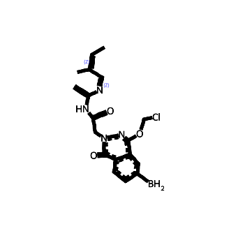 Bc1ccc2c(=O)n(CC(=O)NC(=C)/N=C\C(C)=C/C)nc(OCCl)c2c1